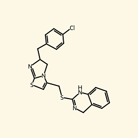 Clc1ccc(CC2CN3C(CSC4=NCc5ccccc5N4)=CSC3=N2)cc1